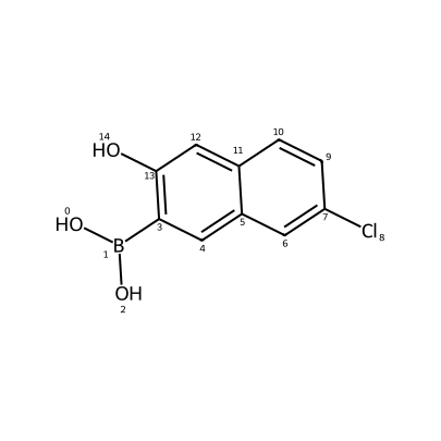 OB(O)c1cc2cc(Cl)ccc2cc1O